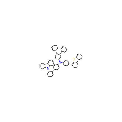 c1ccc(-c2ccc(N(c3ccc(-c4ccccc4-n4c5ccccc5c5ccccc54)cc3)c3ccc(-c4cccc5c4sc4ccccc45)cc3)cc2-c2ccccc2)cc1